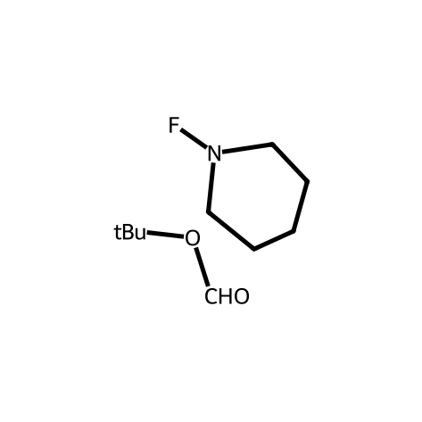 CC(C)(C)OC=O.FN1CCCCC1